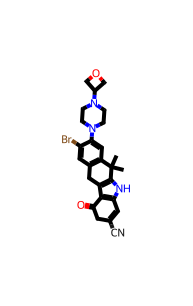 CC1(C)c2cc(N3CCN(C4COC4)CC3)c(Br)cc2Cc2c1[nH]c1c2C(=O)CC(C#N)=C1